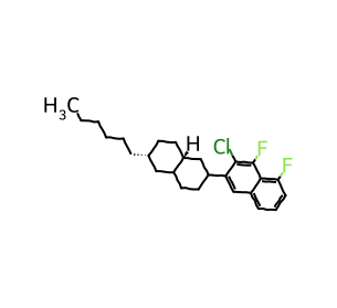 CCCCCC[C@@H]1CC[C@@H]2CC(c3cc4cccc(F)c4c(F)c3Cl)CCC2C1